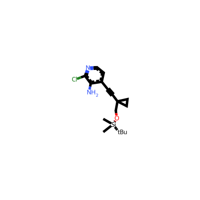 CC(C)(C)[Si](C)(C)OCC1(C#Cc2ccnc(Cl)c2N)CC1